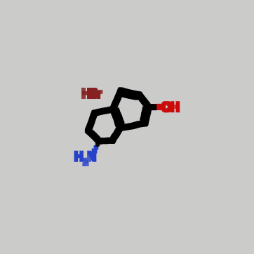 Br.N[C@@H]1CCc2ccc(O)cc2C1